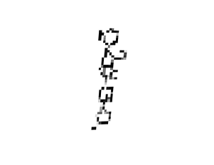 O=C1c2oc(-c3ccc(N4CC[C@H](F)C4)nc3)nc2CN1c1cccnc1